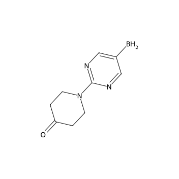 Bc1cnc(N2CCC(=O)CC2)nc1